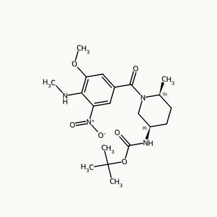 CNc1c(OC)cc(C(=O)N2C[C@H](NC(=O)OC(C)(C)C)CC[C@@H]2C)cc1[N+](=O)[O-]